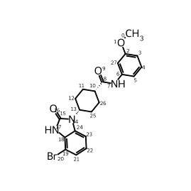 COc1cccc(NC(=O)[C@H]2CC[C@@H](n3c(=O)[nH]c4c(Br)cccc43)CC2)c1